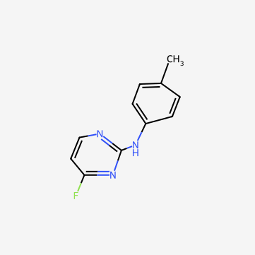 Cc1ccc(Nc2nccc(F)n2)cc1